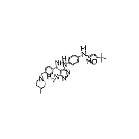 CC1CCN(Cc2ccc(C(=N)c3c(N)ncnc3Nc3ccc(Nc4cc(C(C)(C)C)on4)cc3)cc2)CC1